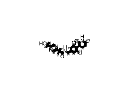 CC(C)(O)c1cnc(C(C)(C)C(=O)NCc2cc(Cl)c(C3CCC(=O)NC3=O)c(Cl)c2)cn1